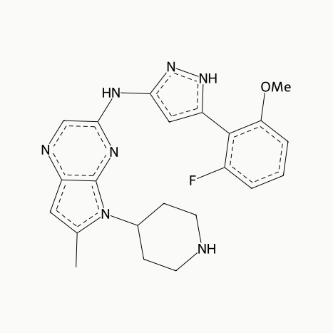 COc1cccc(F)c1-c1cc(Nc2cnc3cc(C)n(C4CCNCC4)c3n2)n[nH]1